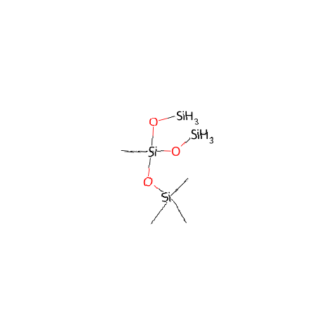 C[Si](C)(C)O[Si](C)(O[SiH3])O[SiH3]